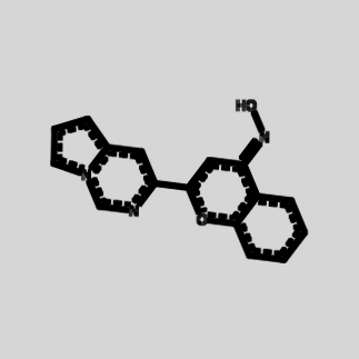 ON=c1cc(-c2cc3cccn3cn2)oc2ccccc12